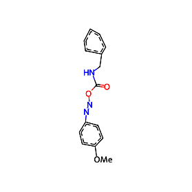 COc1ccc(N=NOC(=O)NCc2ccccc2)cc1